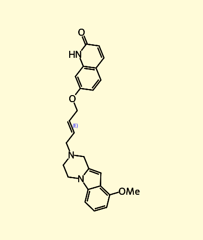 COc1cccc2c1cc1n2CCN(C/C=C/COc2ccc3ccc(=O)[nH]c3c2)C1